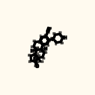 C#Cc1cc2c(cc1N1CCNCC1)[C@H]1CC[C@]3(C)C(=O)CC[C@H]3[C@@H]1CC2